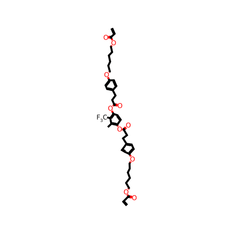 C=CC(=O)OCCCCCCOc1ccc(CCC(=O)Oc2ccc(OC(=O)CCc3ccc(OCCCCCCOC(=O)C=C)cc3)c(C(F)(F)F)c2C)cc1